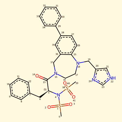 CS(=O)(=O)N([C@@H](Cc1ccccc1)C(=O)N1CCN(Cc2c[nH]cn2)c2ccc(-c3ccccc3)cc2C1)S(C)(=O)=O